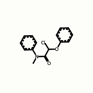 CN(C(=O)C(Cl)Oc1ccccc1)c1ccccc1